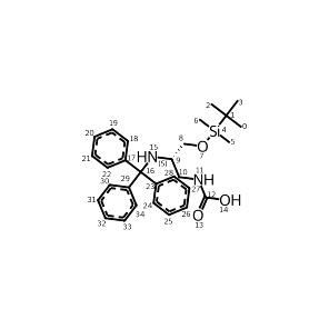 CC(C)(C)[Si](C)(C)OC[C@H](CNC(=O)O)NC(c1ccccc1)(c1ccccc1)c1ccccc1